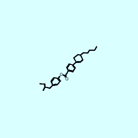 CCCCCC1CC=C(c2ccc(C(=O)Oc3ccc(CC(C)CC)cc3)cc2)CC1